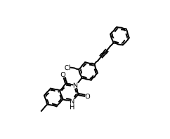 Cc1ccc2c(=O)n(-c3ccc(C#Cc4ccccc4)cc3Cl)c(=O)[nH]c2c1